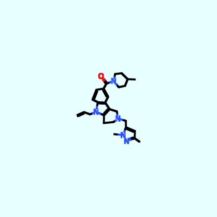 C=CCn1c2c(c3cc(C(=O)N4CCC(C)CC4)ccc31)CN(Cc1cc(C)nn1C)CC2